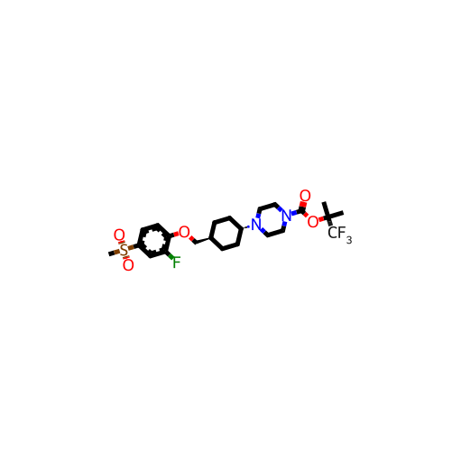 CC(C)(OC(=O)N1CCN([C@H]2CC[C@H](COc3ccc(S(C)(=O)=O)cc3F)CC2)CC1)C(F)(F)F